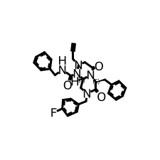 C#CCN1CC(=O)N2[C@@H](Cc3ccccc3)C(=O)N(Cc3ccc(F)cc3)C[C@@H]2N1C(=O)NCc1ccccc1